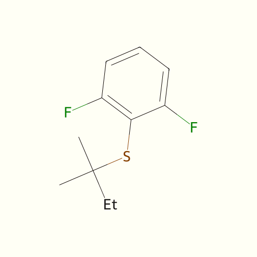 CCC(C)(C)Sc1c(F)cccc1F